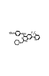 CC(C)(C)c1ccc(Nc2nc(CN3CCCCC3)nc3cc(-c4ncccc4C(F)(F)F)ccc23)cc1